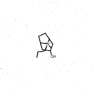 CCC[N+]1(C)C2CCC1CC(O)C2